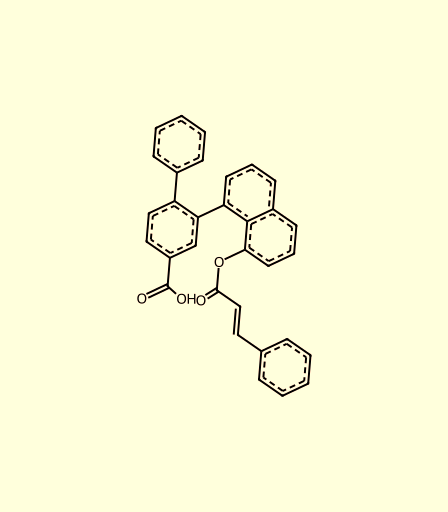 O=C(C=Cc1ccccc1)Oc1cccc2cccc(-c3cc(C(=O)O)ccc3-c3ccccc3)c12